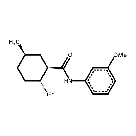 COc1cccc(NC(=O)[C@@H]2C[C@H](C)CC[C@H]2C(C)C)c1